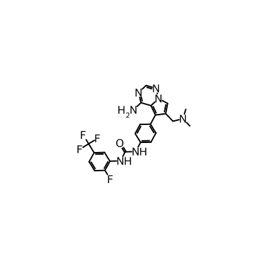 CN(C)Cc1cn2ncnc(N)c2c1-c1ccc(NC(=O)Nc2cc(C(F)(F)F)ccc2F)cc1